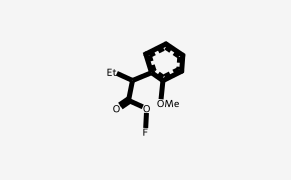 CCC(C(=O)OF)c1ccccc1OC